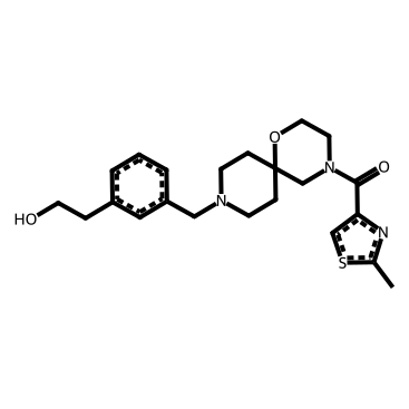 Cc1nc(C(=O)N2CCOC3(CCN(Cc4cccc(CCO)c4)CC3)C2)cs1